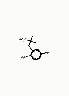 CC(C)c1ccc([N+](=O)[O-])c(OC(C)(C)C(=O)O)c1